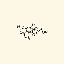 CC1=C[C@@H]2CN(C(=O)N2O[C@H](F)C(=O)O)[C@@H]1C(N)=O